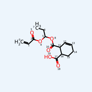 C=CC(=O)OC(CC)OC(=O)C1C=CCCC1C(=O)O